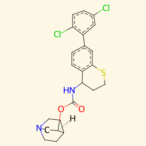 O=C(NC1CCSc2cc(-c3cc(Cl)ccc3Cl)ccc21)O[C@@H]1CN2CCC1CC2